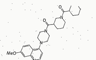 COc1ccc2c(N3CCN(C(=O)C4CCCN(C(=O)C5CCCCC5)C4)CC3)ccnc2c1